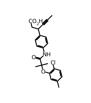 CC#CC(CC(=O)O)c1ccc(NC(=O)C(C)(C)Oc2cc(C)ccc2Cl)cc1